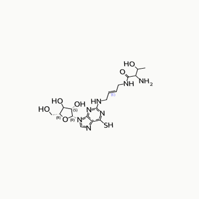 CC(O)C(N)C(=O)NC/C=C/CNc1nc(S)c2ncn([C@@H]3O[C@H](CO)C(O)[C@@H]3O)c2n1